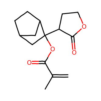 C=C(C)C(=O)OC1(C2CCOC2=O)CC2CCC1C2